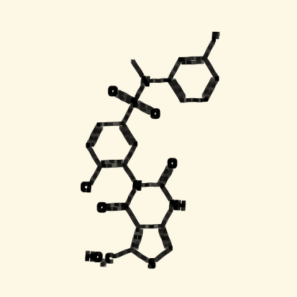 CN(c1cccc(F)c1)S(=O)(=O)c1ccc(Cl)c(-n2c(=O)[nH]c3csc(C(=O)O)c3c2=O)c1